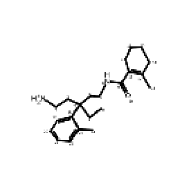 CCC(CCN)(CCNC(=O)C1=C(C)CCCC1)c1ccccc1C